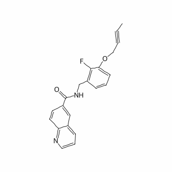 CC#CCOc1cccc(CNC(=O)c2ccc3ncccc3c2)c1F